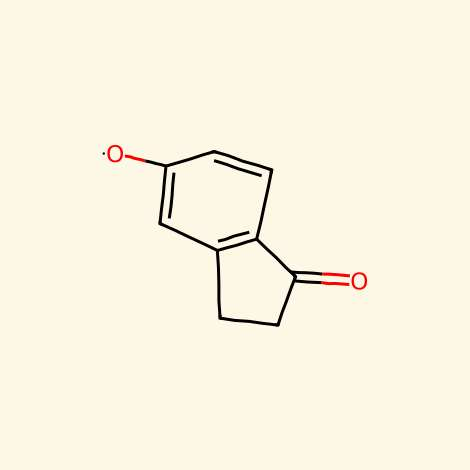 [O]c1ccc2c(c1)CCC2=O